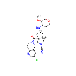 COC1COCCC1N[C@@H]1C[C@H]2CN(C#N)C[C@@]2(C(=O)N2CCc3ncc(Cl)cc3C2)C1